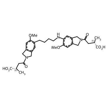 COc1cc2c(cc1CCCCNc1cc3c(cc1OC)CN(C(=O)C[C@H](C)C(=O)O)C3)CN(C(=O)C[C@H](C)C(=O)O)C2